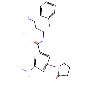 CC(C)Nc1cc(C(=O)N[C@@H](Cc2ccccc2)[C@H](O)CN)cc(N2CCCC2=O)c1